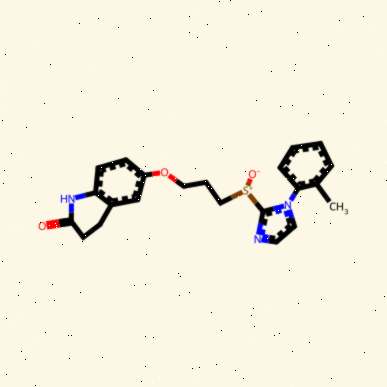 Cc1ccccc1-n1ccnc1[S+]([O-])CCCOc1ccc2c(c1)CCC(=O)N2